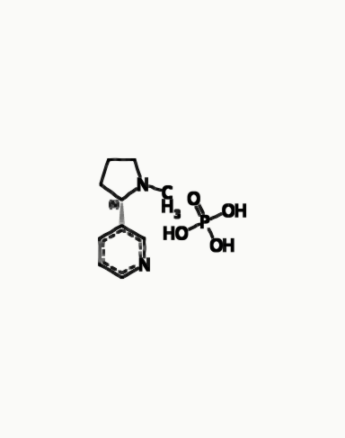 CN1CCC[C@H]1c1cccnc1.O=P(O)(O)O